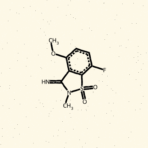 COc1ccc(F)c2c1C(=N)N(C)S2(=O)=O